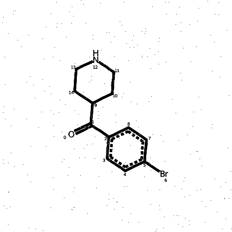 O=C(c1ccc(Br)cc1)C1CCNCC1